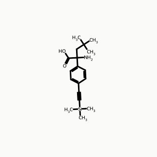 CC(C)(C)CC(N)(C(=O)O)c1ccc(C#C[Si](C)(C)C)cc1